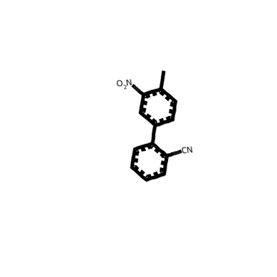 Cc1ccc(-c2ccccc2C#N)cc1[N+](=O)[O-]